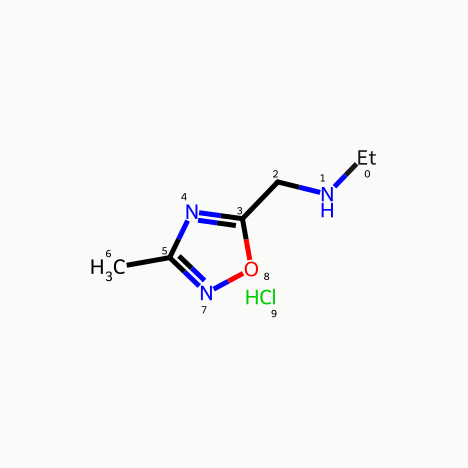 CCNCc1nc(C)no1.Cl